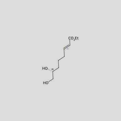 CCOC(=O)/C=C/CCC[C@@H](O)CO